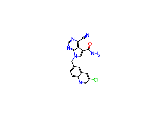 N#Cc1ncnc2c1c(C(N)=O)cn2Cc1ccc2ncc(Cl)cc2c1